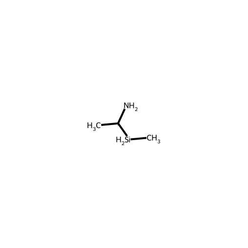 C[SiH2][C](C)N